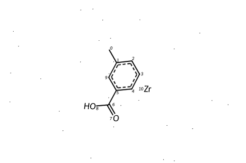 Cc1cccc(C(=O)O)c1.[Zr]